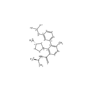 Cc1ncc(C(=O)N[C@@H](C)C(F)(F)F)c(N2CC[C@H](N)C2)c1-c1cccc(OC(F)F)c1